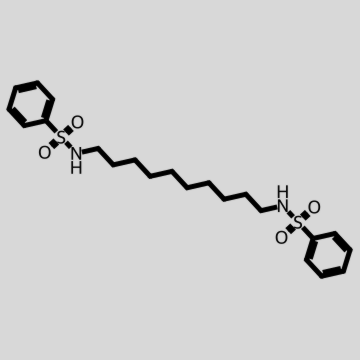 O=S(=O)(NCCCCCCCCCCNS(=O)(=O)c1ccccc1)c1ccccc1